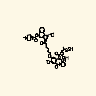 COc1cc2c(cc1OCCCCCC(=O)N1C[C@@H](CCl)c3c1cc(OC(=O)N1CCN(C)CC1)c1ccccc31)N(C(=O)OCC(C)SS)C(O)[C@@H]1CCCN1C2=O